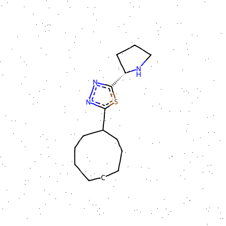 C1CCCCC(c2nnc([C@@H]3CCCN3)s2)CCC1